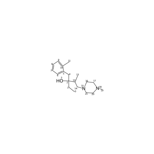 CCC(O)(Cc1ccccc1C)C(C)CN1CCN(C)CC1